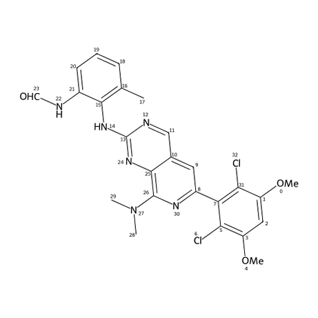 COc1cc(OC)c(Cl)c(-c2cc3cnc(Nc4c(C)cccc4NC=O)nc3c(N(C)C)n2)c1Cl